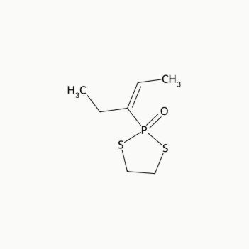 C/C=C(/CC)P1(=O)SCCS1